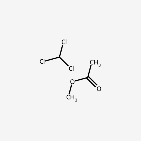 COC(C)=O.ClC(Cl)Cl